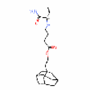 CC[C@H](NCCCC(=O)OCCC12CC3CC(CC(C3)C1)C2)C(N)=O